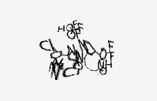 C[C@@H]1CCC[C@H](n2cnc(-c3cc(Cl)ccc3-n3cc(Cl)nn3)cc2=O)c2cc(ccn2)-c2ccc(C(F)F)cc2NC1=O.O=C(O)C(F)(F)F